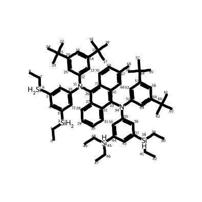 CC[SiH2]c1cc([SiH2]CC)cc(N(c2cc(C(C)(C)C)cc(C(C)(C)C)c2)c2c3ccccc3c(N(c3cc([SiH](CC)CC)cc([SiH](CC)CC)c3)c3cc(C(C)(C)C)cc(C(C)(C)C)c3)c3cc(C)ccc23)c1